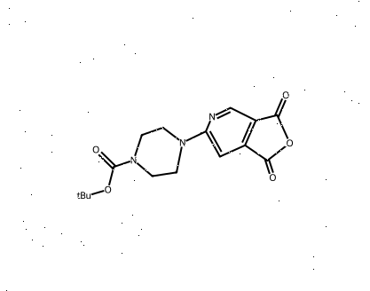 CC(C)(C)OC(=O)N1CCN(c2cc3c(cn2)C(=O)OC3=O)CC1